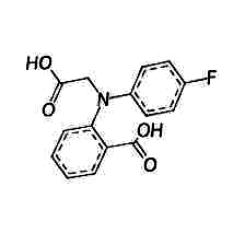 O=C(O)CN(c1ccc(F)cc1)c1ccccc1C(=O)O